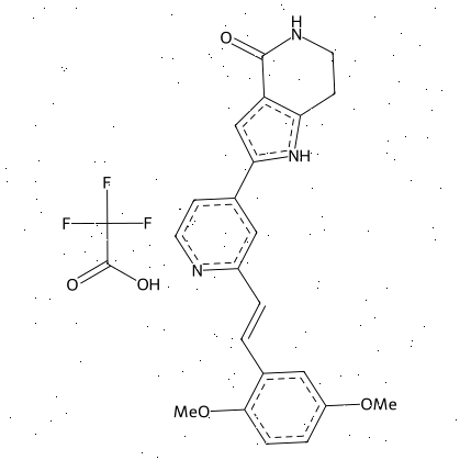 COc1ccc(OC)c(C=Cc2cc(-c3cc4c([nH]3)CCNC4=O)ccn2)c1.O=C(O)C(F)(F)F